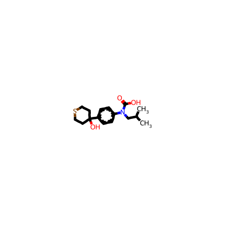 CC(C)CN(C(=O)O)c1ccc(C2(O)CCSCC2)cc1